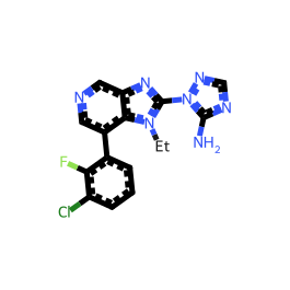 CCn1c(-n2ncnc2N)nc2cncc(-c3cccc(Cl)c3F)c21